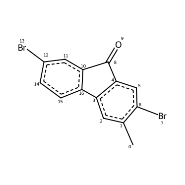 Cc1cc2c(cc1Br)C(=O)c1cc(Br)ccc1-2